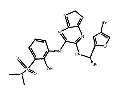 CC(C)c1coc([C@H](Nc2nc3c(nc2Nc2cccc(S(=O)(=O)N(C)C)c2O)=NCN=3)C(C)(C)C)c1